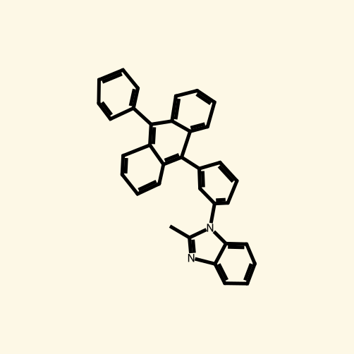 Cc1nc2ccccc2n1-c1cccc(-c2c3ccccc3c(-c3ccccc3)c3ccccc23)c1